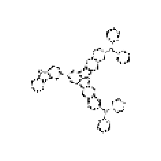 c1ccc(N(c2ccccc2)c2ccc3cc4c5cc(-c6ccc7oc8ccccc8c7c6)cc6c7cc8ccc(N(c9ccccc9)c9ccccc9)cc8cc7n(c4cc3c2)c56)cc1